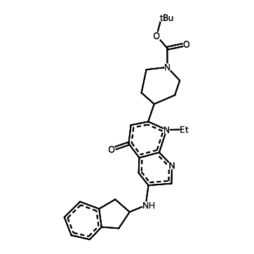 CCn1c(C2CCN(C(=O)OC(C)(C)C)CC2)cc(=O)c2cc(NC3Cc4ccccc4C3)cnc21